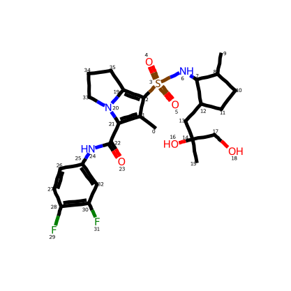 Cc1c(S(=O)(=O)NC2C(C)CCC2CC(C)(O)CO)c2n(c1C(=O)Nc1ccc(F)c(F)c1)CCC2